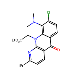 CCOC(=O)Cn1c2nc(C(C)C)ccc2c(=O)c2ccc(Cl)c(N(C)C)c21